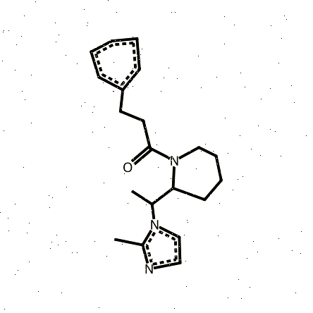 Cc1nccn1C(C)C1CCCCN1C(=O)CCc1ccccc1